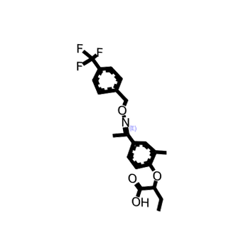 CCC(Oc1ccc(/C(C)=N/OCc2ccc(C(F)(F)F)cc2)cc1C)C(=O)O